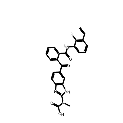 C=Cc1cccc(NC(=O)c2ccccc2C(=O)c2ccc3nc(N(C)C(=O)O)[nH]c3c2)c1F